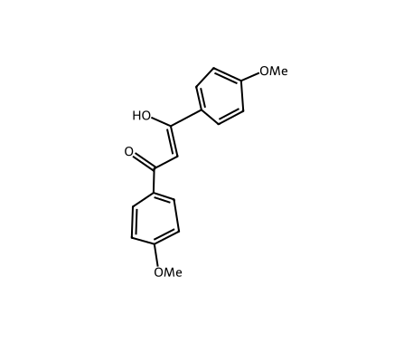 COc1ccc(C(=O)/C=C(\O)c2ccc(OC)cc2)cc1